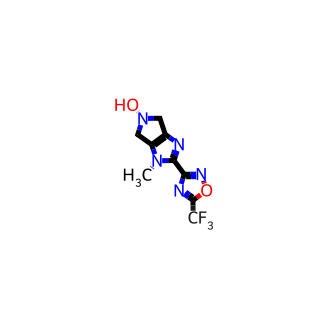 Cn1c(-c2noc(C(F)(F)F)n2)nc2c1CN(O)C2